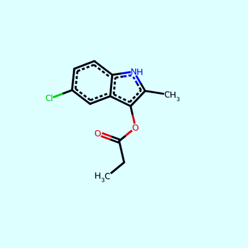 CCC(=O)Oc1c(C)[nH]c2ccc(Cl)cc12